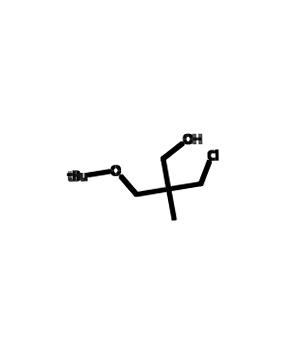 CC(CO)(CCl)COC(C)(C)C